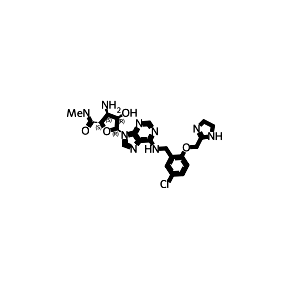 CNC(=O)[C@H]1O[C@@H](n2cnc3c(NCc4cc(Cl)ccc4OCC4=NCCN4)ncnc32)[C@H](O)[C@@H]1N